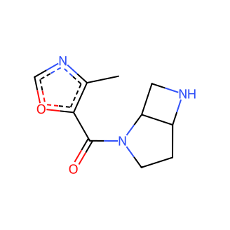 Cc1ncoc1C(=O)N1CCC2NCC21